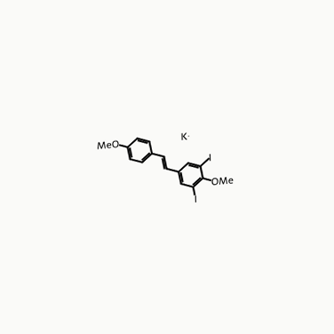 COc1ccc(C=Cc2cc(I)c(OC)c(I)c2)cc1.[K]